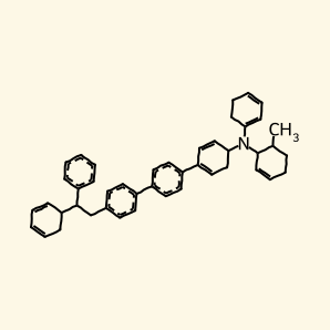 CC1CCC=CC1N(C1=CC=CCC1)C1C=CC(c2ccc(-c3ccc(CC(c4ccccc4)C4C=CC=CC4)cc3)cc2)=CC1